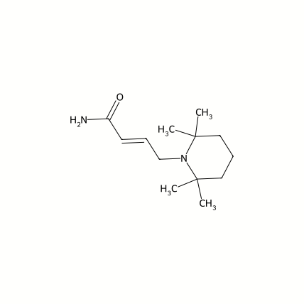 CC1(C)CCCC(C)(C)N1C/C=C/C(N)=O